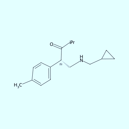 Cc1ccc([C@@H](CNCC2CC2)C(=O)C(C)C)cc1